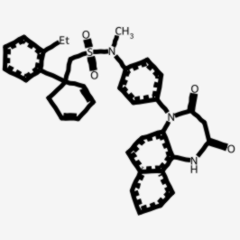 CCc1ccccc1C1(CS(=O)(=O)N(C)c2ccc(N3C(=O)CC(=O)Nc4c3ccc3ccccc43)cc2)C=CC=CC1